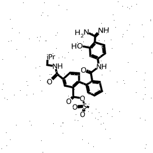 CC(C)CNC(=O)c1ccc(-c2ccccc2C(=O)Nc2ccc(C(=N)N)c(O)c2)c(C(=O)OS(C)(=O)=O)c1